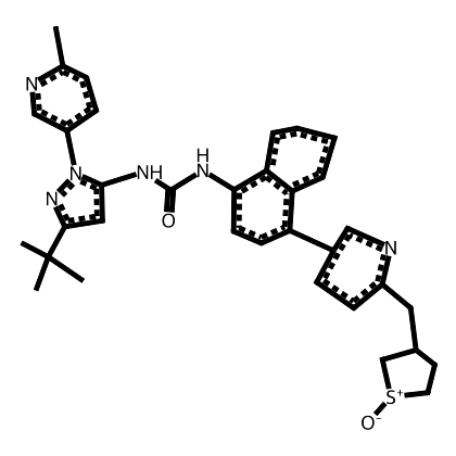 Cc1ccc(-n2nc(C(C)(C)C)cc2NC(=O)Nc2ccc(-c3ccc(CC4CC[S+]([O-])C4)nc3)c3ccccc23)cn1